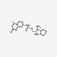 Cc1cc(=O)oc2cc(NC(=O)OCC3Nc4ccccc4N3N)ccc12